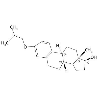 CC(C)COc1ccc2c(c1)CC[C@H]1C3CC[C@H](O)[C@@]3(C)CC[C@H]21